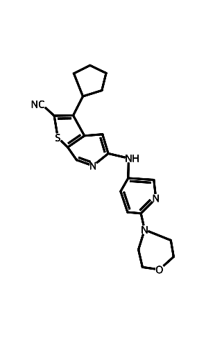 N#Cc1sc2cnc(Nc3ccc(N4CCOCC4)nc3)cc2c1C1CCCC1